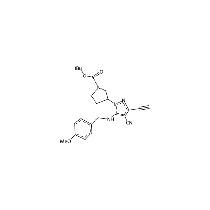 C#Cc1nn(C2CCN(C(=O)OC(C)(C)C)C2)c(NCc2ccc(OC)cc2)c1C#N